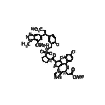 COC(=O)C[C@@H]1N=C(c2ccc(Cl)cc2)c2c(sc(C(=O)[C@H]3CCCC3S(=O)(=O)NCc3cc(C(CC(=O)O)c4cc(OC)c5c(c4)nnn5C)ccc3Cl)c2C)-n2cnnc21